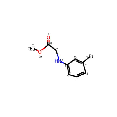 CCc1cccc(NCC(=O)OC(C)(C)C)c1